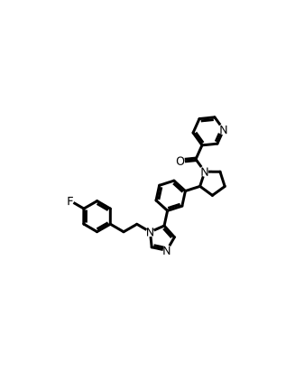 O=C(c1cccnc1)N1CCCC1c1cccc(-c2cncn2CCc2ccc(F)cc2)c1